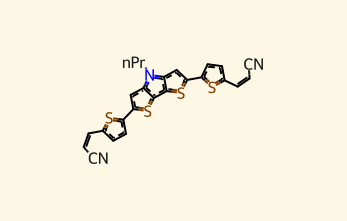 CCCn1c2cc(-c3ccc(/C=C\C#N)s3)sc2c2sc(-c3ccc(/C=C\C#N)s3)cc21